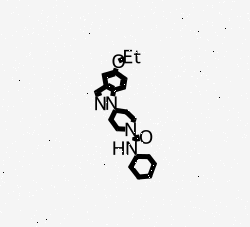 CCOc1ccc2c(cnn2C2CCN(C(=O)NC3CCCCC3)CC2)c1